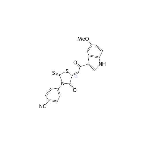 COc1ccc2[nH]cc(C(=O)/C=C3\SC(=S)N(c4ccc(C#N)cc4)C3=O)c2c1